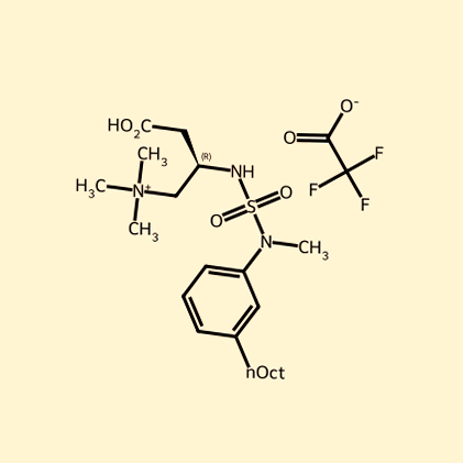 CCCCCCCCc1cccc(N(C)S(=O)(=O)N[C@H](CC(=O)O)C[N+](C)(C)C)c1.O=C([O-])C(F)(F)F